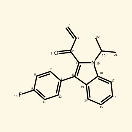 C=CC(=O)c1c(-c2ccc(F)cc2)c2ccccc2n1C(C)C